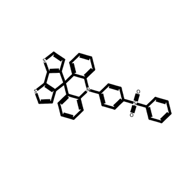 O=S(=O)(c1ccccc1)c1ccc(N2c3ccccc3C3(c4ccccc42)c2ccsc2-c2sccc23)cc1